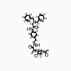 CC(=O)N[C@H](C)C(=O)NC(C)C(=O)NCCc1ccc(NC(=O)CN(Cc2ccccn2)Cc2ccccn2)cc1